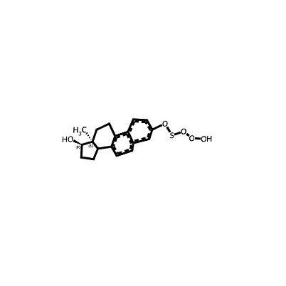 C[C@]12CCc3c(ccc4cc(OSOOO)ccc34)C1CC[C@H]2O